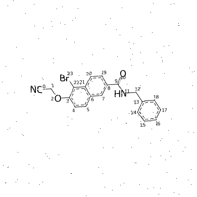 N#CCOc1ccc2cc(C(=O)NCc3ccccc3)ccc2c1Br